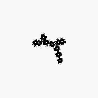 c1ccc(-c2ccc(-c3ccc(N(c4ccc(-c5ccc6c(c5)c5ccccc5n6-c5ccc6ccccc6c5)cc4)c4ccc5ccccc5c4)cc3)cc2)cc1